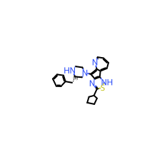 c1ccc(C[C@H]2CN(c3c4nccccc-4c4c3N=C(C3CCCC3)SN4)CCN2)cc1